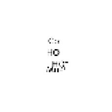 [Co].[Mn+2].[OH-].[OH-]